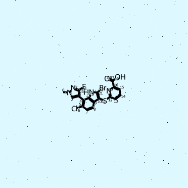 Cn1cc(-c2c(Cl)ccc3c(Sc4cccc(C(=O)O)n4)c(Br)[nH]c23)c(F)n1